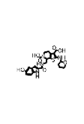 O=C(NCC1c2sc(NC3CCCCO3)c(C(=O)O)c2CCN1C(=O)O)c1cc2cc(O)ccc2[nH]1